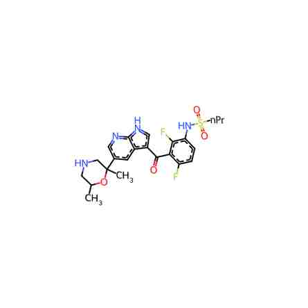 CCCS(=O)(=O)Nc1ccc(F)c(C(=O)c2c[nH]c3ncc(C4(C)CNCC(C)O4)cc23)c1F